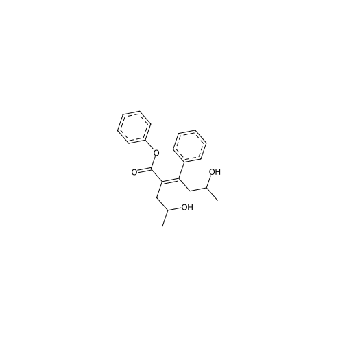 CC(O)CC(C(=O)Oc1ccccc1)=C(CC(C)O)c1ccccc1